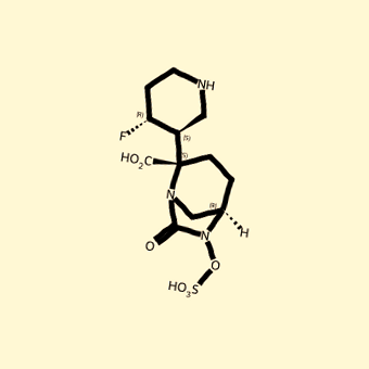 O=C1N(OS(=O)(=O)O)[C@@H]2CC[C@@](C(=O)O)([C@@H]3CNCC[C@H]3F)N1C2